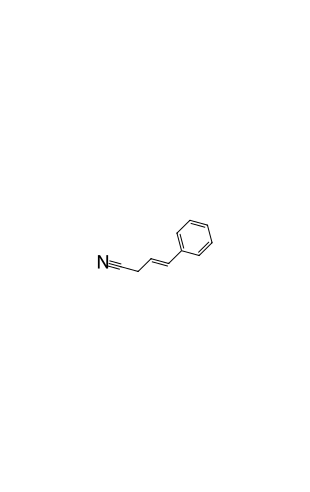 N#CCC=Cc1ccccc1